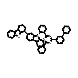 c1ccc(-c2cccc(-c3nc(-c4ccccc4)nc(-c4ccccc4-n4c5ccccc5c5ccc(-c6cccc7c6oc6ccccc67)cc54)n3)c2)cc1